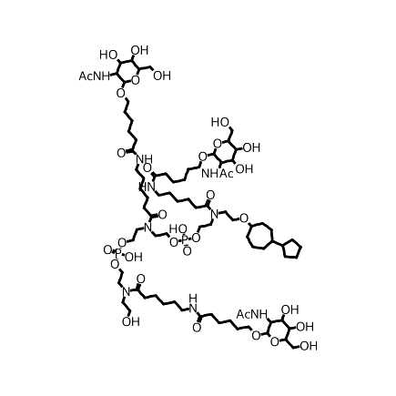 CC(=O)NC1C(OCCCCCC(=O)NCCCCCC(=O)N(CCO)CCOP(=O)(O)OCCN(CCOP(=O)(O)OCCN(CCOC2CCCC(C3CCCC3)CC2)C(=O)CCCCCNC(=O)CCCCCOC2OC(CO)C(O)C(O)C2NC(C)=O)C(=O)CCCCCNC(=O)CCCCCOC2OC(CO)C(O)C(O)C2NC(C)=O)OC(CO)C(O)C1O